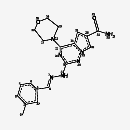 Cc1cccc(/C=N/Nc2nc(N3CCOCC3)c3cc(C(N)=O)cn3n2)c1